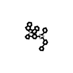 c1ccc(-c2cccc(-c3nc(-c4ccccc4)nc(-c4ccc(-c5ccccc5-n5c6ccc7ccccc7c6c6c7ccccc7ccc65)cc4)n3)c2)cc1